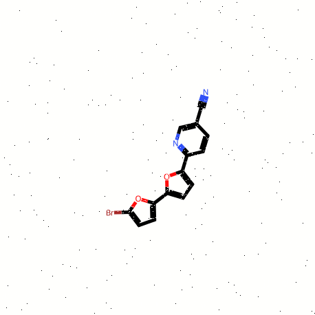 N#Cc1ccc(-c2ccc(-c3ccc(Br)o3)o2)nc1